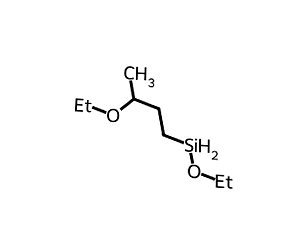 CCO[SiH2]CCC(C)OCC